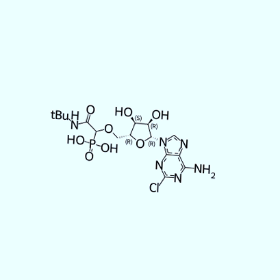 CC(C)(C)NC(=O)C(OC[C@H]1O[C@@H](n2cnc3c(N)nc(Cl)nc32)[C@H](O)[C@@H]1O)P(=O)(O)O